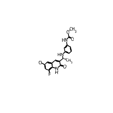 COC(=O)Nc1cccc(N[C@@H](C)c2cc3cc(Cl)cc(F)c3[nH]c2=O)c1